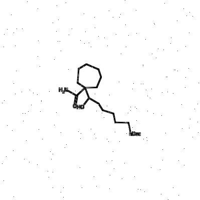 CCCCCCCCCCCCCCCC(O)C1(C(N)=O)CCCCCC1